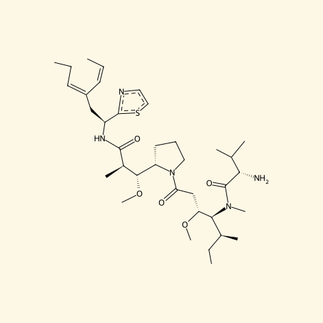 C/C=C\C(=C/CC)C[C@H](NC(=O)[C@H](C)[C@@H](OC)[C@@H]1CCCN1C(=O)C[C@@H](OC)[C@H]([C@@H](C)CC)N(C)C(=O)[C@@H](N)C(C)C)c1nccs1